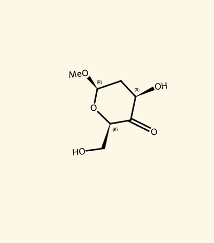 CO[C@H]1C[C@@H](O)C(=O)[C@@H](CO)O1